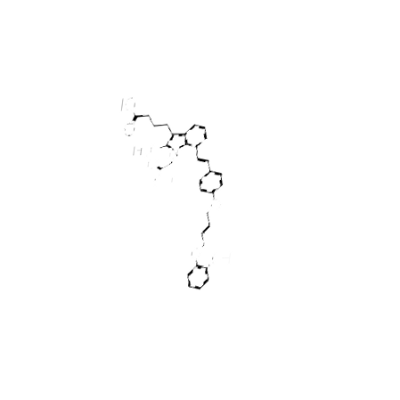 Cc1ccccc1OCC=CCOc1ccc(C=Cc2cccc3c(CCCC(=O)O)c(C)n(CC(=O)O)c23)cc1